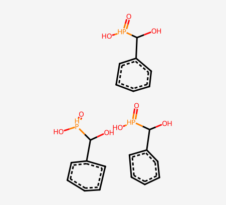 O=[PH](O)C(O)c1ccccc1.O=[PH](O)C(O)c1ccccc1.O=[PH](O)C(O)c1ccccc1